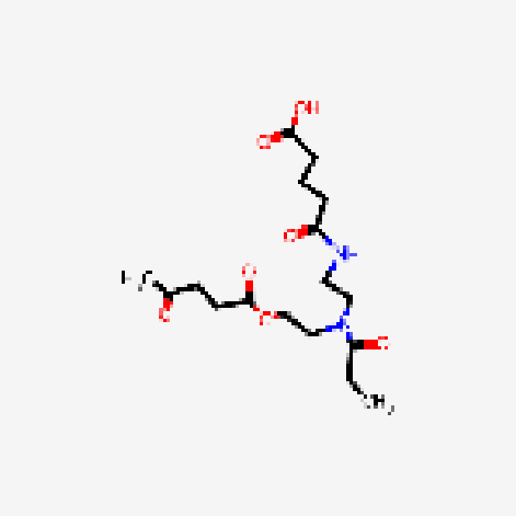 CCC(=O)N(CCNC(=O)CCCC(=O)O)CCOC(=O)CCC(C)=O